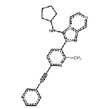 Cc1nc(C#Cc2ccccc2)ccc1-c1nc2cnccn2c1NC1CCCC1